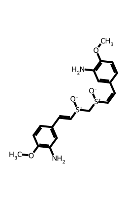 COc1ccc(/C=C\[S+]([O-])C[S+]([O-])/C=C/c2ccc(OC)c(N)c2)cc1N